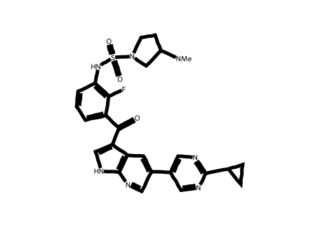 CNC1CCN(S(=O)(=O)Nc2cccc(C(=O)c3c[nH]c4ncc(-c5cnc(C6CC6)nc5)cc34)c2F)C1